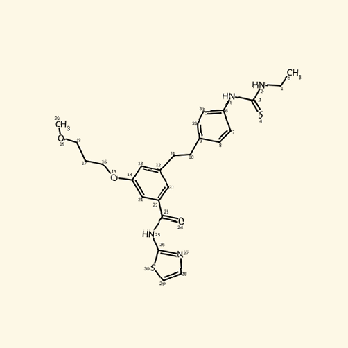 CCNC(=S)Nc1ccc(CCc2cc(OCCCOC)cc(C(=O)Nc3nccs3)c2)cc1